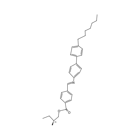 CCCCCCCc1ccc(-c2ccc(N=Cc3ccc(C(=O)OC[C@@H](C)CC)cc3)cc2)cc1